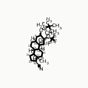 CC(C)(C)[Si](C)(C)OC1C[C@@H]2CC[C@@H]3[C@H](CC[C@]4(C)[C@@H](C#N)CC[C@@H]34)[C@@]2(C)C[C@@H]1OC(F)(F)F